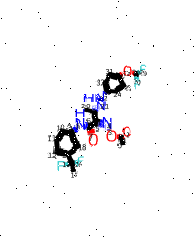 CC(=O)O/N=C(C(=O)Nc1cccc(C(C)(F)F)c1)/C(C)=N/Nc1ccc(OC(F)F)cc1